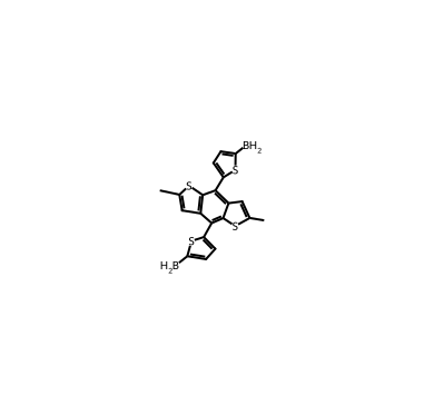 Bc1ccc(-c2c3cc(C)sc3c(-c3ccc(B)s3)c3cc(C)sc23)s1